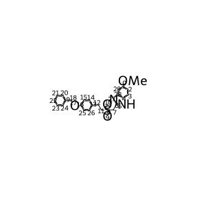 COc1ccc2[nH]c(CS(=O)(=O)CCc3ccc(OCc4ccccc4)cc3)nc2c1